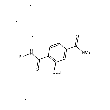 CCNC(=O)c1ccc(C(=O)NC)cc1C(=O)O